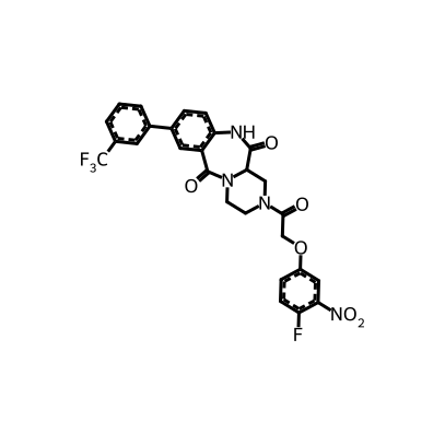 O=C1Nc2ccc(-c3cccc(C(F)(F)F)c3)cc2C(=O)N2CCN(C(=O)COc3ccc(F)c([N+](=O)[O-])c3)CC12